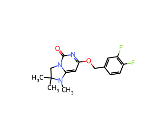 CN1c2cc(OCc3ccc(F)c(F)c3)nc(=O)n2CC1(C)C